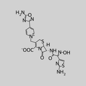 Nc1nc(-c2cc[n+](CC3=C(C(=O)[O-])N4C(=O)[C@@H](NC(=O)C(=NO)c5csc(N)n5)[C@@H]4SC3)cc2)no1